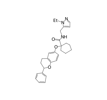 CCn1nccc1CNC(=O)C1(Oc2ccc3c(c2)CCC(c2ccccc2)O3)CCCCC1